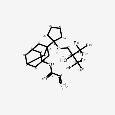 C=CC(=O)OC12CC3CC(C1)CC(C1(OCC(O)(C(F)(F)F)C(F)(F)F)CCCC1)(C3)C2